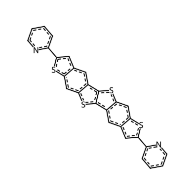 c1ccc(-c2cc3cc4c(cc3s2)sc2c3cc5cc(-c6ccccn6)sc5cc3sc42)nc1